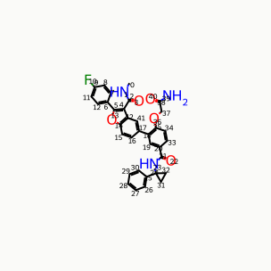 CNC(=O)c1c(-c2ccc(F)cc2)oc2ccc(-c3cc(C(=O)NC4(c5ccccc5)CC4)ccc3OCC(N)=O)cc12